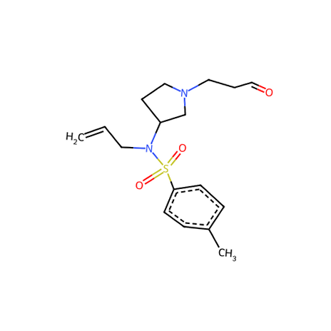 C=CCN(C1CCN(CCC=O)C1)S(=O)(=O)c1ccc(C)cc1